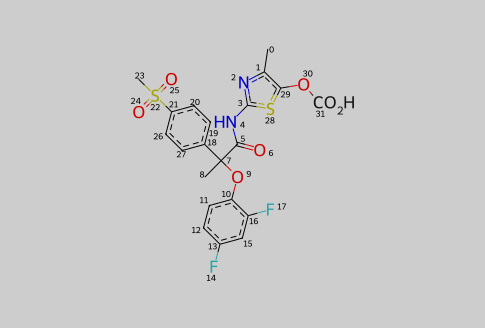 Cc1nc(NC(=O)C(C)(Oc2ccc(F)cc2F)c2ccc(S(C)(=O)=O)cc2)sc1OC(=O)O